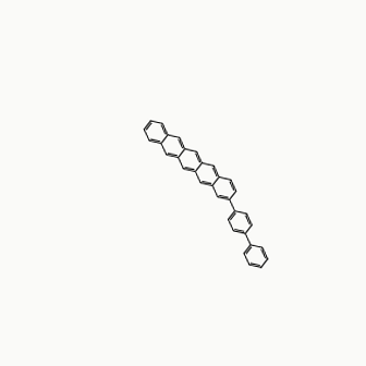 c1ccc(-c2ccc(-c3ccc4cc5cc6cc7ccccc7cc6cc5cc4c3)cc2)cc1